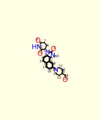 Cn1c(=O)n(C2CCC(=O)NC2=O)c2ccc3ccc(N4CCC(C=O)CC4)cc3c21